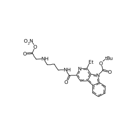 CCc1nc(C(=O)NCCCNCC(=O)O[N+](=O)[O-])cc2c3ccccc3n(C(=O)OC(C)(C)C)c12